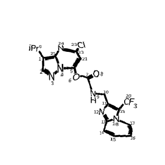 CC(C)c1cnn2c(OC(=O)NCc3nc4ccccn4c3C(F)(F)F)cc(Cl)nc12